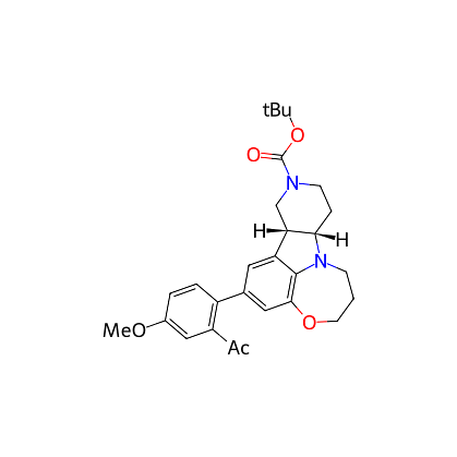 COc1ccc(-c2cc3c4c(c2)[C@@H]2CN(C(=O)OC(C)(C)C)CC[C@@H]2N4CCCO3)c(C(C)=O)c1